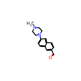 CN1CCN(c2ccc3cc(C=O)ccc3c2)CC1